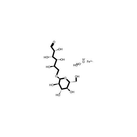 O=C[C@H](O)[C@@H](O)[C@H](O)[C@H](O)CO[C@H]1O[C@H](CO)[C@@H](O)[C@H](O)[C@H]1O.[Fe+3].[OH-].[OH-].[OH-]